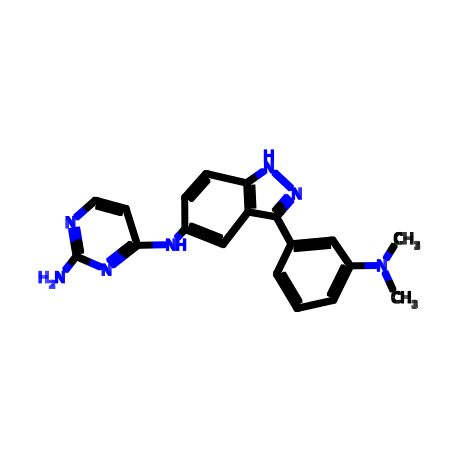 CN(C)c1cccc(-c2n[nH]c3ccc(Nc4ccnc(N)n4)cc23)c1